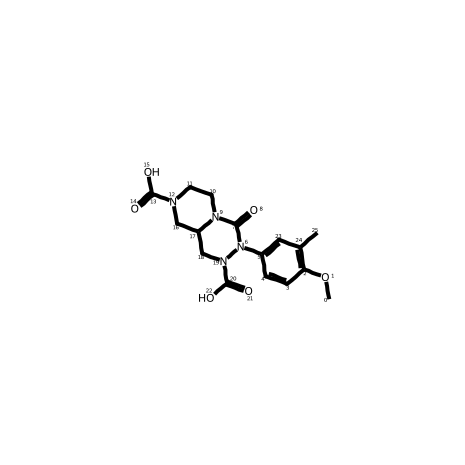 COc1ccc(N2C(=O)N3CCN(C(=O)O)CC3CN2C(=O)O)cc1C